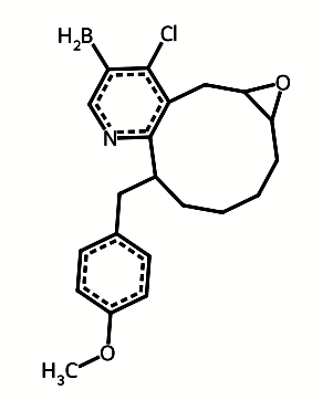 Bc1cnc2c(c1Cl)CC1OC1CCCCC2Cc1ccc(OC)cc1